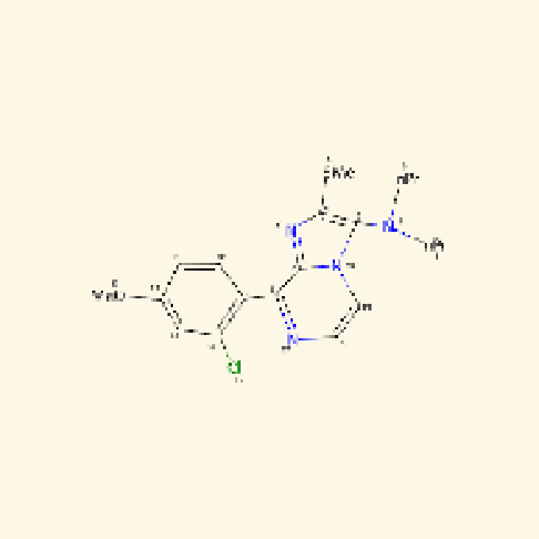 CCCN(CCC)c1c(SC)nc2c(-c3ccc(OC)cc3Cl)nccn12